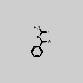 CCCC(NC(N)=O)c1ccccc1